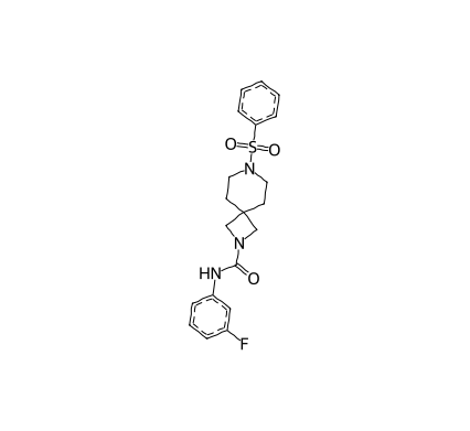 O=C(Nc1cccc(F)c1)N1CC2(CCN(S(=O)(=O)c3ccccc3)CC2)C1